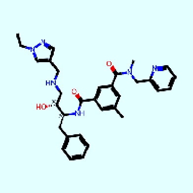 CCn1cc(CNC[C@@H](O)[C@H](Cc2ccccc2)NC(=O)c2cc(C)cc(C(=O)N(C)Cc3ccccn3)c2)cn1